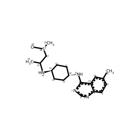 Cc1ccc2ncnc(N[C@H]3CC[C@H](NC(C)C[S@+](C)[O-])CC3)c2c1